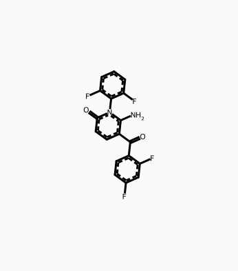 Nc1c(C(=O)c2ccc(F)cc2F)ccc(=O)n1-c1c(F)cccc1F